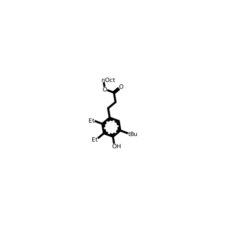 CCCCCCCCOC(=O)CCc1cc(C(C)(C)C)c(O)c(CC)c1CC